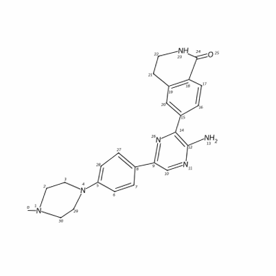 CN1CCN(c2ccc(-c3cnc(N)c(-c4ccc5c(c4)CCNC5=O)n3)cc2)CC1